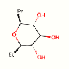 CC[C@H]1O[C@@H](C(C)C)[C@H](O)[C@@H](O)[C@@H]1O